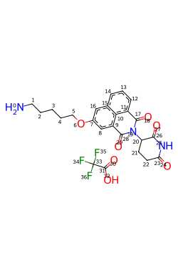 NCCCCCOc1cc2c3c(cccc3c1)C(=O)N(C1CCC(=O)NC1=O)C2=O.O=C(O)C(F)(F)F